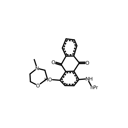 CCCNc1ccc(O)c2c1C(=O)c1ccccc1C2=O.CN1CCOCC1